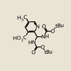 Cc1cnc(C(NC(=O)OC(C)(C)C)NC(=O)OC(C)(C)C)c(C(=O)O)c1